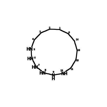 C1CCCCNNNNNNCCCC1